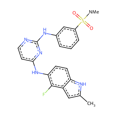 CNS(=O)(=O)c1cccc(Nc2nccc(Nc3ccc4[nH]c(C)cc4c3F)n2)c1